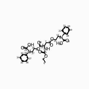 CCOC(=O)NC(CC(=O)OCCN(C(=O)O)c1ccccc1)C(=O)OCCN(C(=O)O)c1ccccc1